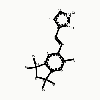 Cc1cc2c(cc1C=Cc1ccno1)C(C)(C)CC2(C)C